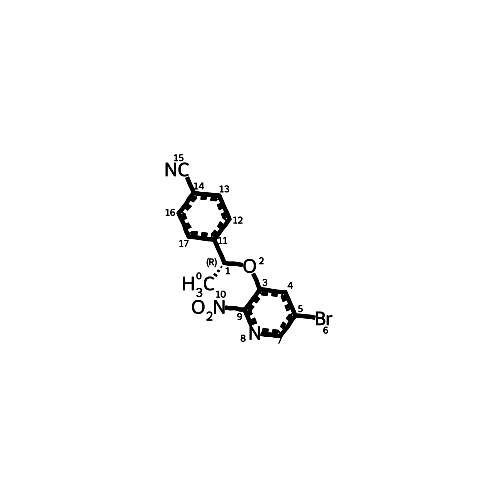 C[C@@H](Oc1cc(Br)cnc1[N+](=O)[O-])c1ccc(C#N)cc1